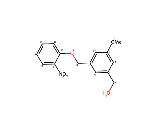 COc1cc(CO)cc(COc2ccccc2[N+](=O)[O-])c1